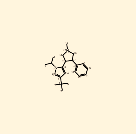 CC(C)n1nc(C(C)(C)C)cc1C1CN(C)CC1c1ccccc1